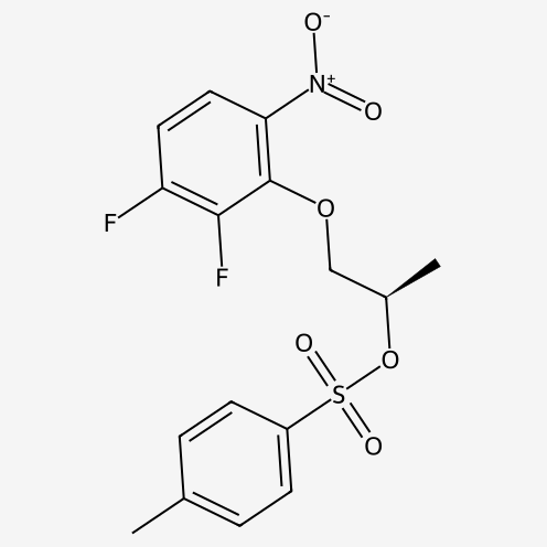 Cc1ccc(S(=O)(=O)O[C@H](C)COc2c([N+](=O)[O-])ccc(F)c2F)cc1